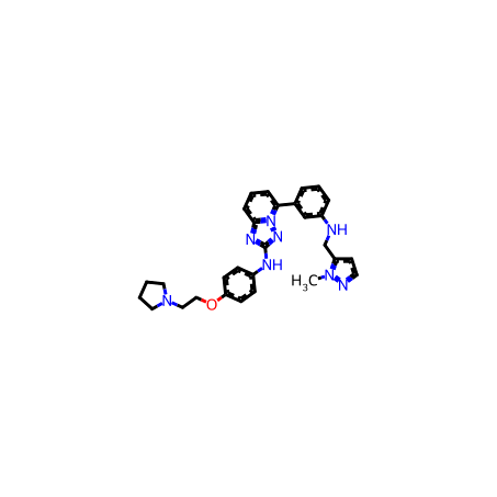 Cn1nccc1CNc1cccc(-c2cccc3nc(Nc4ccc(OCCN5CCCC5)cc4)nn23)c1